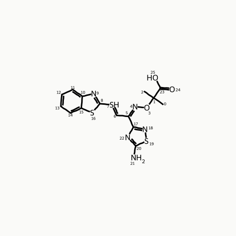 CC(C)(ON=C(C=[SH]c1nc2ccccc2s1)c1nsc(N)n1)C(=O)O